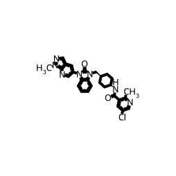 Cc1ncc(Cl)cc1C(=O)N[C@H]1CC[C@H](Cn2c(=O)n(-c3cnc4c(cnn4C)c3)c3ccccc32)CC1